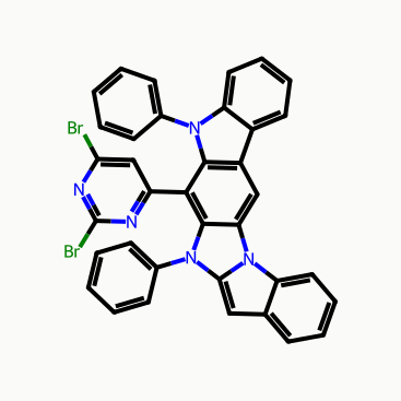 Brc1cc(-c2c3c(cc4c2n(-c2ccccc2)c2cc5ccccc5n42)c2ccccc2n3-c2ccccc2)nc(Br)n1